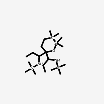 CCC(N[Si](C)(C)C)C1(C(CC)N[Si](C)(C)C)CC[Si](C)(C)[Si](C)(C)O1